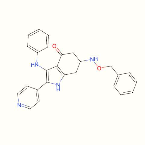 O=C1CC(NOCc2ccccc2)Cc2[nH]c(-c3ccncc3)c(Nc3ccccc3)c21